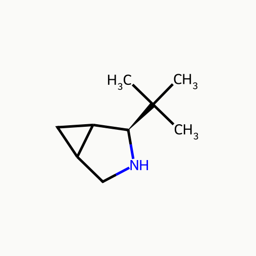 CC(C)(C)[C@H]1NCC2CC21